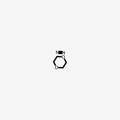 C1COCCO1.N#N